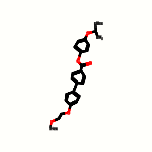 CCCCCCOCCOc1ccc(-c2ccc(C(=O)Oc3ccc(OC(C)CCCCCC)cc3)cc2)cc1